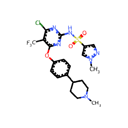 CN1CCC(c2ccc(Oc3nc(NS(=O)(=O)c4cnn(C)c4)nc(Cl)c3C(F)(F)F)cc2)CC1